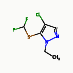 CCn1n[c]c(Cl)c1SC(F)F